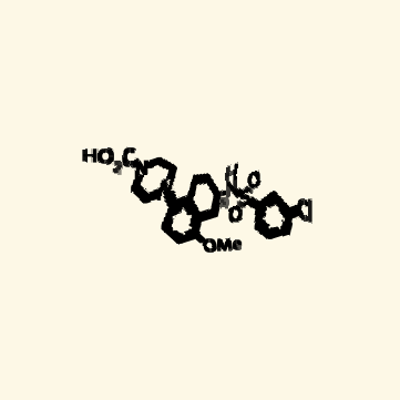 COc1ccc(N2CCN(C(=O)O)CC2)c2c1C[C@@H](NS(=O)(=O)c1cccc(Cl)c1)CC2